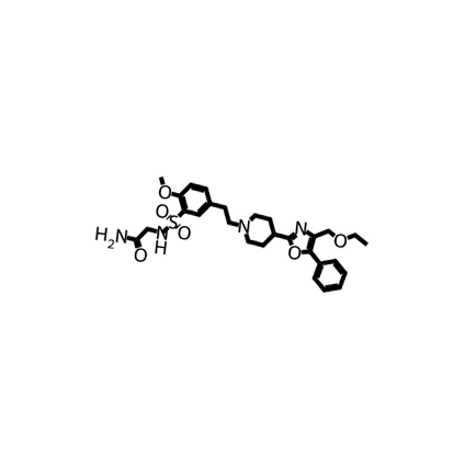 CCOCc1nc(C2CCN(CCc3ccc(OC)c(S(=O)(=O)NCC(N)=O)c3)CC2)oc1-c1ccccc1